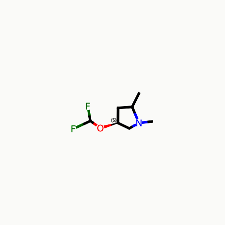 CC1C[C@H](OC(F)F)CN1C